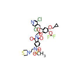 CS(=O)(=O)N(CCN1CCSCC1)c1ccc2c(c1)C(=O)N(CC(=O)O[C@@H](Cc1c(Cl)cncc1Cl)c1ccc(OC(F)F)c(OCC3CC3)c1)C2=O